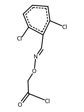 O=C(Cl)CON=Cc1c(Cl)cccc1Cl